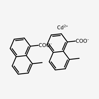 Cc1cccc2cccc(C(=O)[O-])c12.Cc1cccc2cccc(C(=O)[O-])c12.[Cd+2]